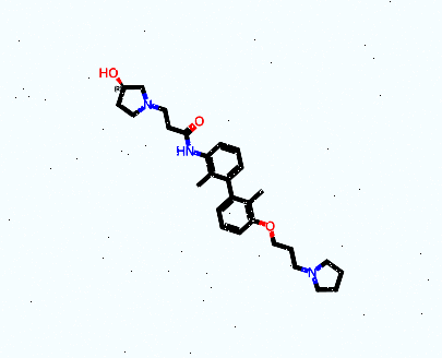 Cc1c(NC(=O)CCN2CC[C@@H](O)C2)cccc1-c1cccc(OCCCN2CCCC2)c1C